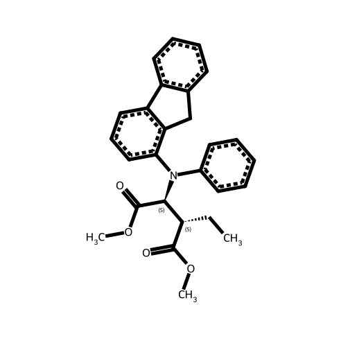 CC[C@H](C(=O)OC)[C@@H](C(=O)OC)N(c1ccccc1)c1cccc2c1Cc1ccccc1-2